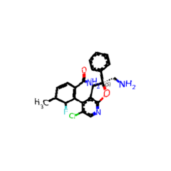 CC1C=CC(C(N)=O)=C(c2c(Cl)cnc3c2C[C@@](CN)(c2ccccc2)O3)C1F